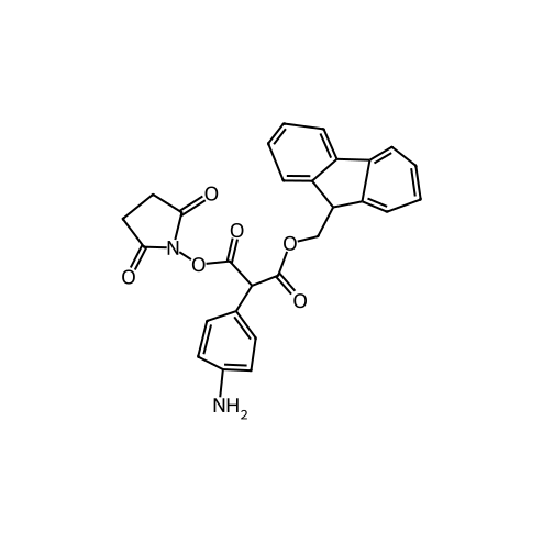 Nc1ccc(C(C(=O)OCC2c3ccccc3-c3ccccc32)C(=O)ON2C(=O)CCC2=O)cc1